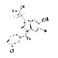 CC[C@@](C)(C(=O)O)c1c(C)n(C(=O)c2cccc(Cl)c2)c2cc(F)c(O)cc12